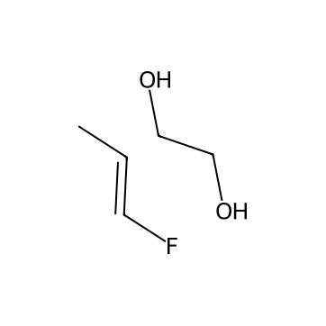 C/C=C/F.OCCO